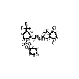 O=C(Cc1c(Cl)ccc(Cl)c1Cl)N/N=C/c1cc(C(F)(F)F)ccc1S(=O)(=O)Oc1ccccc1